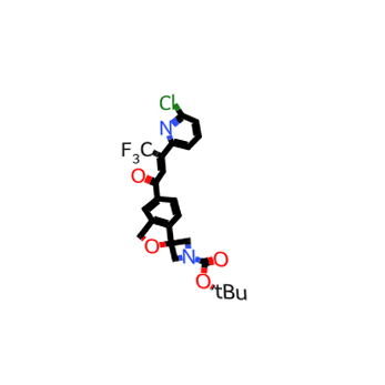 CC(C)(C)OC(=O)N1CC2(C1)OCc1cc(C(=O)/C=C(/c3cccc(Cl)n3)C(F)(F)F)ccc12